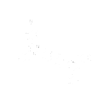 N#Cc1ccc(-c2nc(-c3ccccc3)nc(-c3ccc(-c4ccc(-c5cc(-c6ccccc6)cc(-c6ccccc6)n5)cc4)cc3)n2)cc1